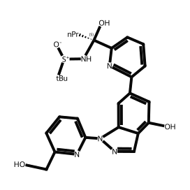 CCC[C@@](O)(N[S+]([O-])C(C)(C)C)c1cccc(-c2cc(O)c3cnn(-c4cccc(CO)n4)c3c2)n1